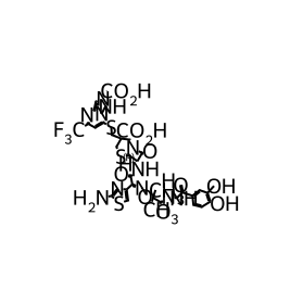 CC(C)(ON=C(C(=O)NC1C(=O)N2CC(CSC3=CC(C(F)(F)F)=NC4=CN(C(=O)O)NN43)(C(=O)O)CS[C@H]12)c1csc(N)n1)C(=O)NNC(=O)c1ccc(O)c(O)c1